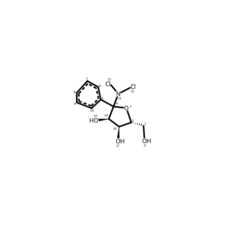 OC[C@H]1OC(c2ccccc2)(N(Cl)Cl)[C@H](O)[C@@H]1O